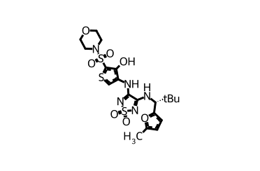 Cc1ccc([C@H](NC2=NS(=O)(=O)N=C2Nc2csc(S(=O)(=O)N3CCOCC3)c2O)C(C)(C)C)o1